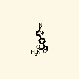 Cn1c(C#N)ccc1-c1ccc(-c2ccoc2C(N)=O)cc1